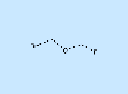 FCOCBr